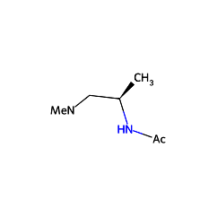 CNC[C@@H](C)NC(C)=O